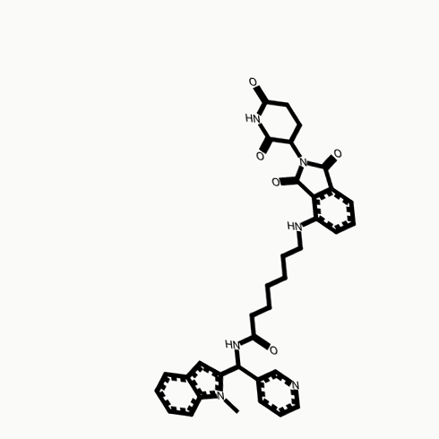 Cn1c(C(NC(=O)CCCCCCNc2cccc3c2C(=O)N(C2CCC(=O)NC2=O)C3=O)c2cccnc2)cc2ccccc21